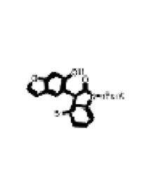 CCCCCN1C(=O)C(c2cc3ccoc3cc2O)c2c(Br)cccc21